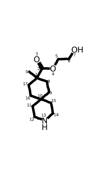 CC1(C(=O)OCCO)CCC2(CCNCC2)CC1